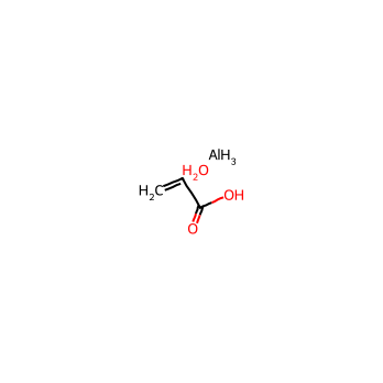 C=CC(=O)O.O.[AlH3]